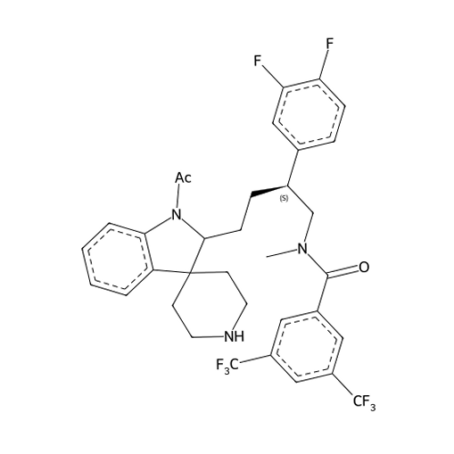 CC(=O)N1c2ccccc2C2(CCNCC2)C1CC[C@H](CN(C)C(=O)c1cc(C(F)(F)F)cc(C(F)(F)F)c1)c1ccc(F)c(F)c1